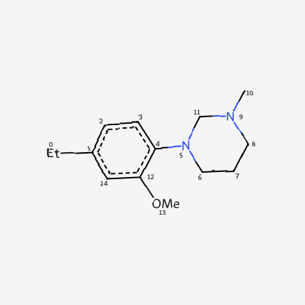 CCc1ccc(N2CCCN(C)C2)c(OC)c1